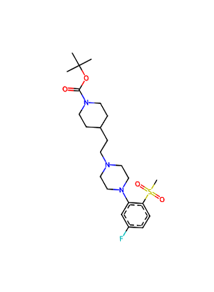 CC(C)(C)OC(=O)N1CCC(CCN2CCN(c3cc(F)ccc3S(C)(=O)=O)CC2)CC1